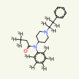 [2H]c1c([2H])c([2H])c(N(C(=O)CC([2H])([2H])[2H])C2CCN(C([2H])([2H])C([2H])([2H])c3ccccc3)CC2)c([2H])c1[2H]